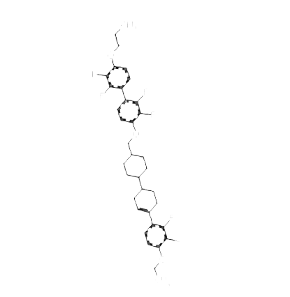 CCCOc1ccc(-c2ccc(OCC3CCC(C4CC=C(c5ccc(OCC)c(F)c5F)CC4)CC3)c(F)c2F)c(F)c1F